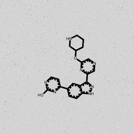 Oc1nccc(-c2ccc3[nH]nc(-c4cncc(OC5CCCNC5)n4)c3c2)n1